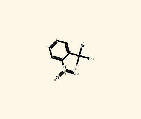 O=[SH](=O)c1ccccc1C(F)(F)Br